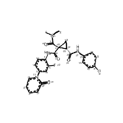 CN(C)C(=O)[C@@]1(C(=O)Nc2ccc(-n3ccccc3=O)cc2F)C[C@@H]1C(=O)Nc1ccc(Cl)cc1